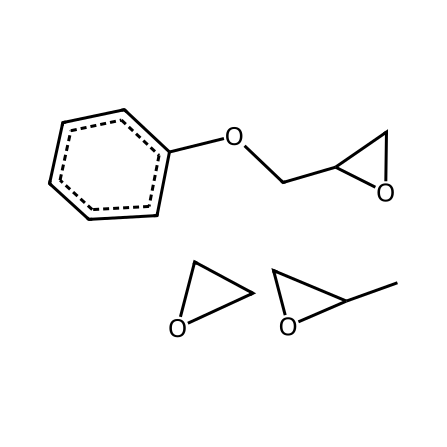 C1CO1.CC1CO1.c1ccc(OCC2CO2)cc1